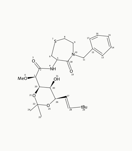 CO[C@@H](C(=O)NC1CSCCN(Cc2ccccc2)C1=O)[C@@H]1OC(C)(C)O[C@H](C=CC(C)(C)C)[C@@H]1O